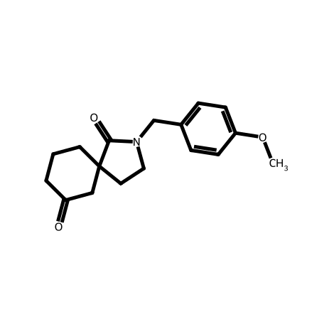 COc1ccc(CN2CCC3(CCCC(=O)C3)C2=O)cc1